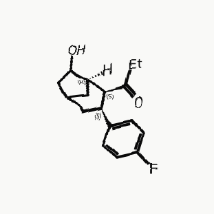 CCC(=O)[C@H]1[C@@H](c2ccc(F)cc2)CC2CC(O)[C@@H]1C2